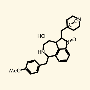 COc1ccc(CC2NCCC3c4c2cccc4[N+](=O)C3CC23CCN(CC2)CC3)cc1.Cl